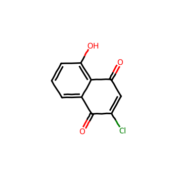 O=C1C(Cl)=CC(=O)c2c(O)cccc21